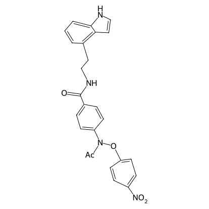 CC(=O)N(Oc1ccc([N+](=O)[O-])cc1)c1ccc(C(=O)NCCc2cccc3[nH]ccc23)cc1